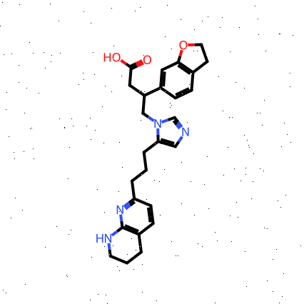 O=C(O)CC(Cn1cncc1CCCc1ccc2c(n1)NCCC2)c1ccc2c(c1)OCC2